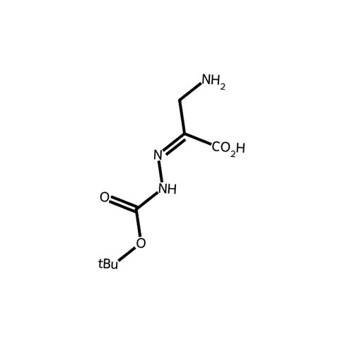 CC(C)(C)OC(=O)N/N=C(/CN)C(=O)O